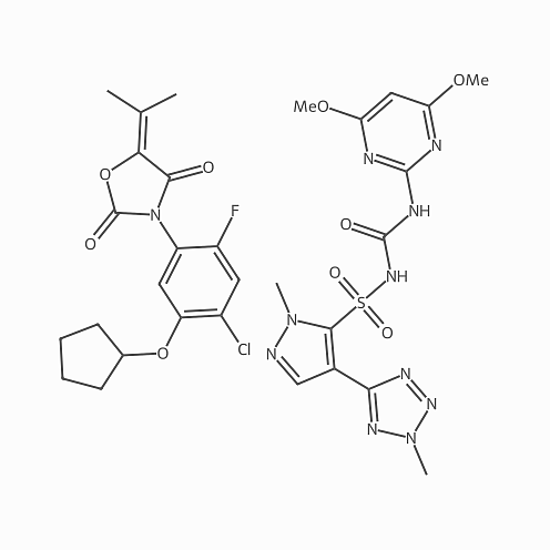 CC(C)=C1OC(=O)N(c2cc(OC3CCCC3)c(Cl)cc2F)C1=O.COc1cc(OC)nc(NC(=O)NS(=O)(=O)c2c(-c3nnn(C)n3)cnn2C)n1